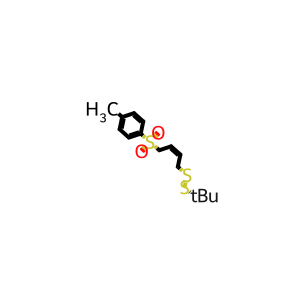 Cc1ccc(S(=O)(=O)C/C=C\CSSC(C)(C)C)cc1